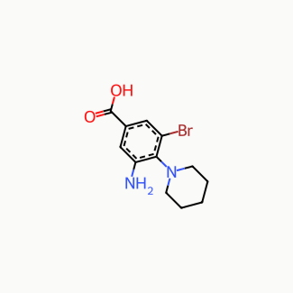 Nc1cc(C(=O)O)cc(Br)c1N1CCCCC1